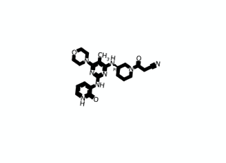 Cc1c(N[C@@H]2CCCN(C(=O)CC#N)C2)nc(Nc2ccc[nH]c2=O)nc1N1CCOCC1